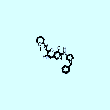 O=C(NOC1CCCCO1)/C(F)=C\c1cnc(N[C@@H]2CCN(Cc3ccccc3)C2)c(Cl)c1